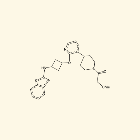 COCC(=O)N1CCC(c2cccnc2OC2CC(Nc3nc4ccccc4s3)C2)CC1